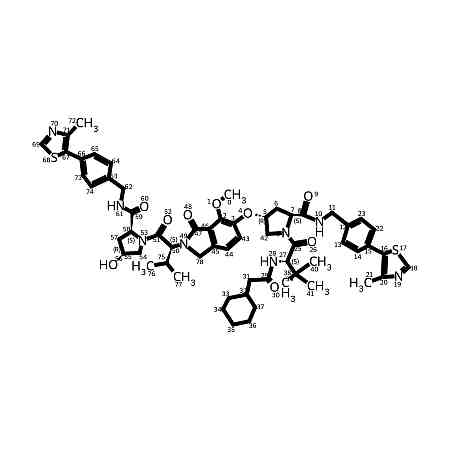 COc1c(O[C@@H]2C[C@@H](C(=O)NCc3ccc(-c4scnc4C)cc3)N(C(=O)[C@@H](NC(=O)CC3CCCCC3)C(C)(C)C)C2)ccc2c1C(=O)N([C@H](C(=O)N1C[C@H](O)C[C@H]1C(=O)NCc1ccc(-c3scnc3C)cc1)C(C)C)C2